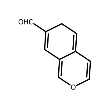 O=CC1=CC2=COC=CC2=CC1